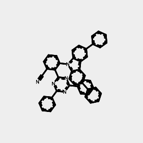 N#Cc1cccc(-n2c3ccc(-c4ccccc4)cc3c3cc(-c4ccccc4)ccc32)c1-c1nc(-c2ccccc2)nc(-c2ccccc2)n1